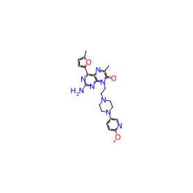 COc1ccc(N2CCN(CCn3c(=O)c(C)nc4c(-c5ccc(C)o5)nc(N)nc43)CC2)cn1